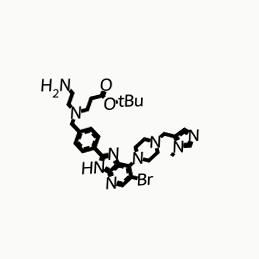 Cn1cncc1CN1CCN(c2c(Br)cnc3[nH]c(-c4ccc(CN(CCN)CCC(=O)OC(C)(C)C)cc4)nc23)CC1